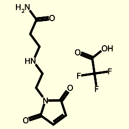 NC(=O)CCNCCN1C(=O)C=CC1=O.O=C(O)C(F)(F)F